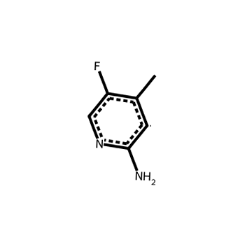 Cc1[c]c(N)ncc1F